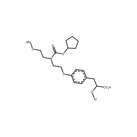 CCCCOCCN(CCOc1ccc(CC(OCC)C(=O)O)cc1)C(=O)OC1CCCC1